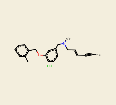 CCCN(C/C=C/C#CC(C)(C)C)Cc1cccc(OCc2ccccc2C)c1.Cl